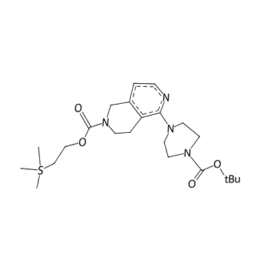 CC(C)(C)OC(=O)N1CCN(c2nccc3c2CCN(C(=O)OCCS(C)(C)C)C3)CC1